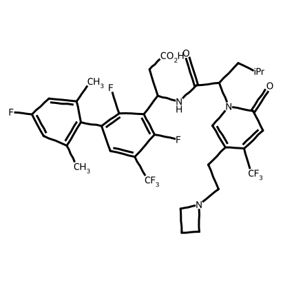 Cc1cc(F)cc(C)c1-c1cc(C(F)(F)F)c(F)c(C(CC(=O)O)NC(=O)C(CC(C)C)n2cc(CCN3CCC3)c(C(F)(F)F)cc2=O)c1F